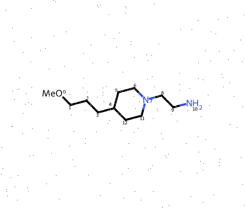 COCCCC1CCN(CCN)CC1